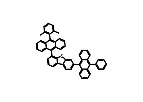 Cc1cccc(C)c1-c1c2ccccc2c(-c2cccc3c2sc2cc(-c4c5ccccc5c(-c5ccccc5)c5ccccc45)ccc23)c2ccccc12